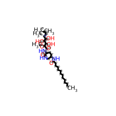 CCCCCCCCCCCCCC(=O)N[C@H]1CC[C@H](NC(=O)[C@H](OC)[C@H](O)[C@@H](O)[C@H](O)/C=C/C(C)(C)C)C(=O)NC1